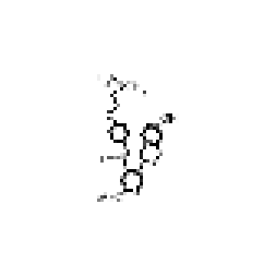 CCN(Cc1ccc(OCCN(C)C)cc1)c1cc(OC)ccc1C1CCc2cc(O)ccc2C1